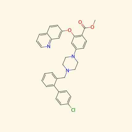 COC(=O)c1ccc(N2CCN(Cc3ccccc3-c3ccc(Cl)cc3)CC2)cc1Oc1ccc2cccnc2c1